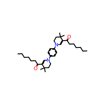 CCCCCCC(=O)C1=CN(c2ccc(N3C=C(C(=O)CCCCCC)C(C)(C)CC3)cc2)CCC1(C)C